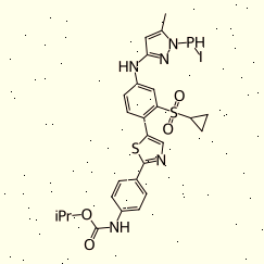 Cc1cc(Nc2ccc(-c3cnc(-c4ccc(NC(=O)OC(C)C)cc4)s3)c(S(=O)(=O)C3CC3)c2)nn1PI